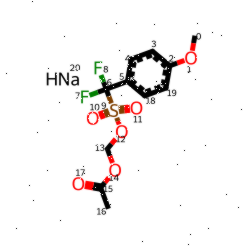 COc1ccc(C(F)(F)S(=O)(=O)OCOC(C)=O)cc1.[NaH]